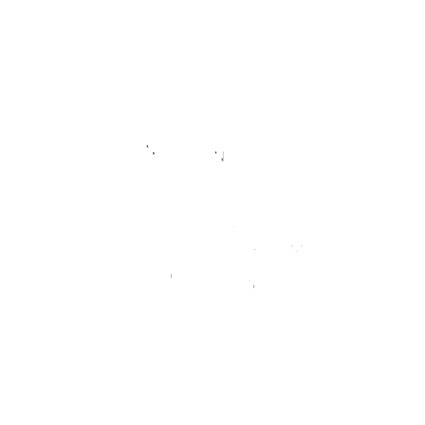 COC(=O)c1cnc2c(ccn2C)c1Cl